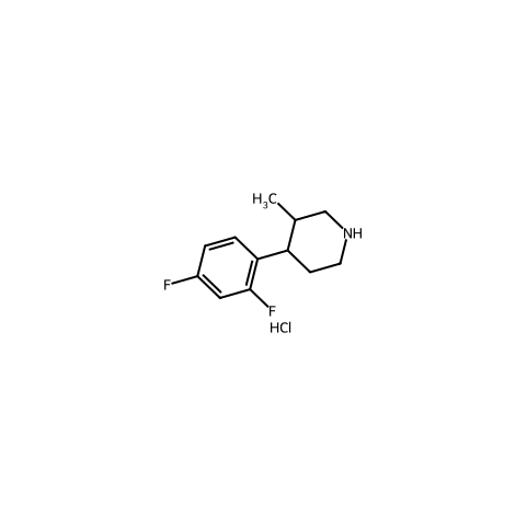 CC1CNCCC1c1ccc(F)cc1F.Cl